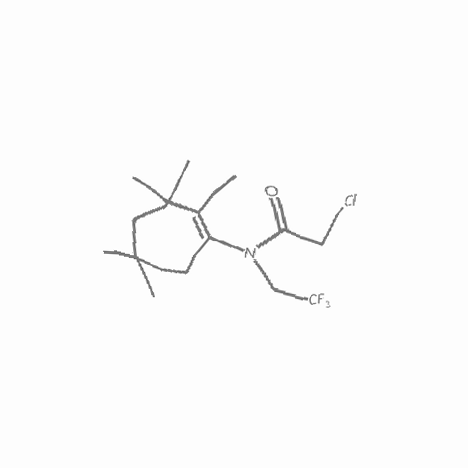 CC1=C(N(CC(F)(F)F)C(=O)CCl)CC(C)(C)CC1(C)C